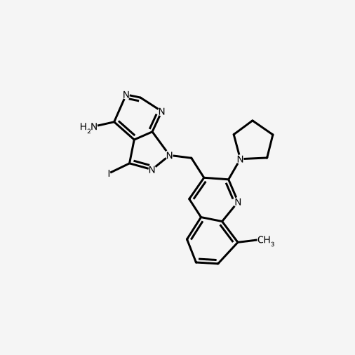 Cc1cccc2cc(Cn3nc(I)c4c(N)ncnc43)c(N3CCCC3)nc12